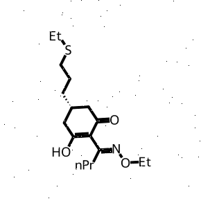 CCCC(=NOCC)C1=C(O)C[C@H](CCCSCC)CC1=O